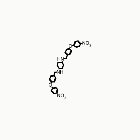 O=[N+]([O-])c1ccc(Oc2ccc(CN[C@H]3CC[C@H](NCc4ccc(Oc5ccc([N+](=O)[O-])cc5)cc4)CC3)cc2)cc1